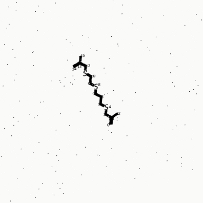 C=C(C)CSCCCSCCSCC(=C)C